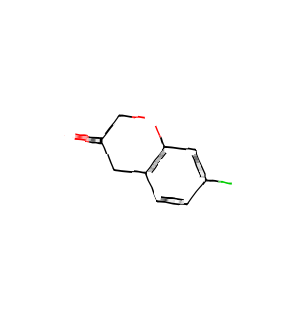 O=C1COc2cc(Cl)ccc2C1